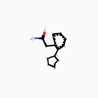 NC(=O)Cc1ccccc1C1CCCC1